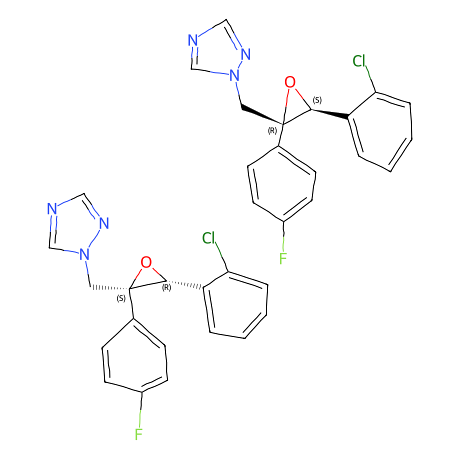 Fc1ccc([C@@]2(Cn3cncn3)O[C@@H]2c2ccccc2Cl)cc1.Fc1ccc([C@]2(Cn3cncn3)O[C@H]2c2ccccc2Cl)cc1